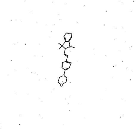 CN1c2ccccc2C(C)(C)C1C=Cc1ccc(N2CCOCC2)cc1